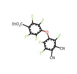 CCOC(=O)c1c(F)c(F)c(Oc2c(F)c(F)c(C#N)c(C#N)c2F)c(F)c1F